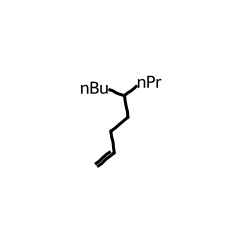 C=CCCC(CCC)CCCC